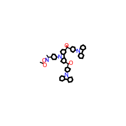 CC(=O)ON=C(C)c1ccc(-n2c3ccc(C(=O)c4ccc(-n5c6ccccc6c6ccccc65)cc4)cc3c3cc(C(=O)c4ccc(-n5c6ccccc6c6ccccc65)cc4)ccc32)cc1